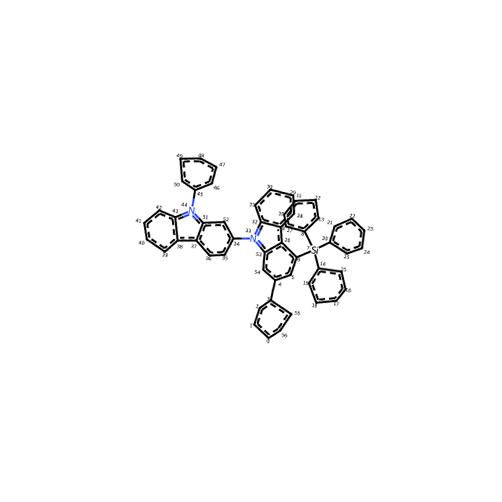 c1ccc(-c2cc([Si](c3ccccc3)(c3ccccc3)c3ccccc3)c3c4ccccc4n(-c4ccc5c6ccccc6n(-c6ccccc6)c5c4)c3c2)cc1